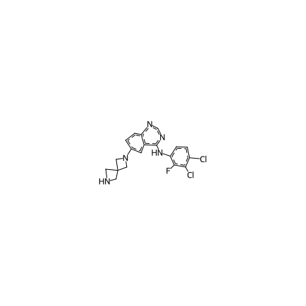 Fc1c(Nc2ncnc3ccc(N4CC5(CNC5)C4)cc23)ccc(Cl)c1Cl